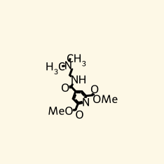 COC(=O)c1cc(C(=O)NCCN(C)C)cc(C(=O)OC)n1